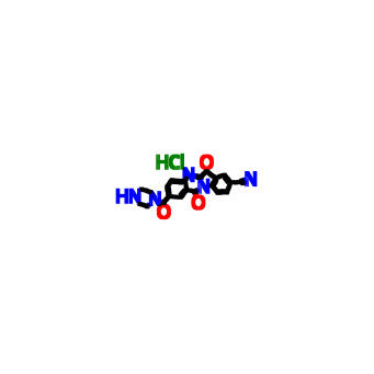 Cl.N#Cc1ccc2c(c1)C(=O)c1nc3ccc(C(=O)N4CCNCC4)cc3c(=O)n1-2